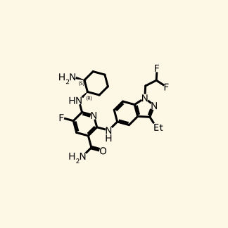 CCc1nn(CC(F)F)c2ccc(Nc3nc(N[C@@H]4CCCC[C@@H]4N)c(F)cc3C(N)=O)cc12